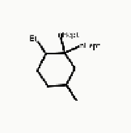 CCCCCCCC1(CCCCCCC)CC(C)CCC1CC